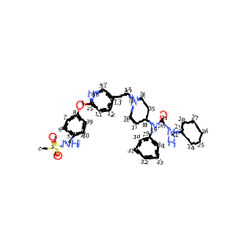 CS(=O)(=O)Nc1ccc(Oc2ccc(CN3CCC(N(C(=O)NC4CCCCC4)c4ccccc4)CC3)cn2)cc1